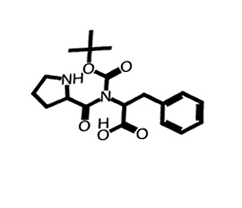 CC(C)(C)OC(=O)N(C(=O)C1CCCN1)C(Cc1ccccc1)C(=O)O